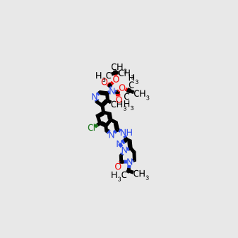 Cc1c(-c2cc(Cl)c3cnc(Nc4cc5n(n4)CC(=O)N(C(C)C)CC5)cc3c2)cncc1N(C(=O)OC(C)(C)C)C(=O)OC(C)(C)C